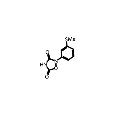 CSc1cccc(-n2oc(=O)[nH]c2=O)c1